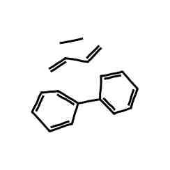 C=CC=C.CC.c1ccc(-c2ccccc2)cc1